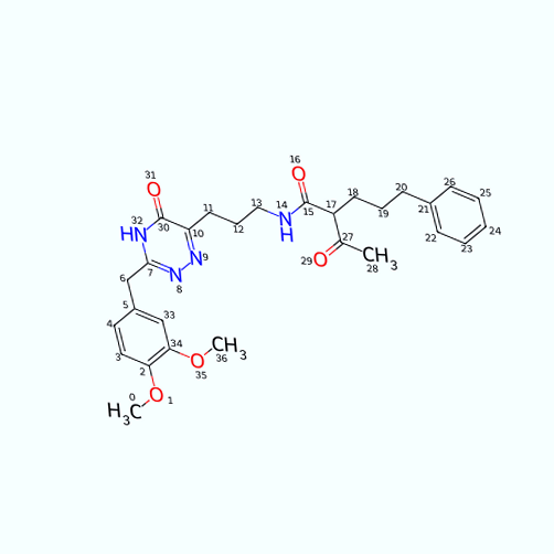 COc1ccc(Cc2nnc(CCCNC(=O)C(CCCc3ccccc3)C(C)=O)c(=O)[nH]2)cc1OC